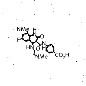 CNCCNc1c(C(=O)Nc2ccc(C(=O)O)cc2)c(=O)[nH]c2c(NC)cc(F)cc12